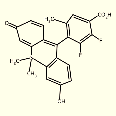 Cc1cc(C(=O)O)c(F)c(F)c1C1=C2C=CC(=O)C=C2S(C)(C)c2cc(O)ccc21